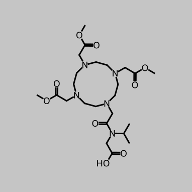 COC(=O)CN1CCN(CC(=O)OC)CCN(CC(=O)N(CC(=O)O)C(C)C)CCN(CC(=O)OC)CC1